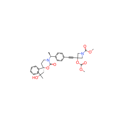 COC(=O)OC1(C#Cc2ccc([C@H](C)N3CC[C@](CC(C)(C)O)(c4ccccc4)OC3=O)cc2)CN(C(=O)OC)C1